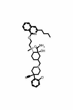 CCCCc1cc2ccccc2c(OCC[N+](C)(C)[C@H]2CCC(CN3CCC(C#N)(c4ccccc4Cl)CC3)C[C@@]2(O)C(N)=O)n1